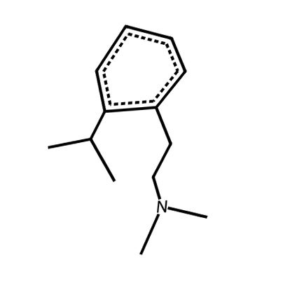 CC(C)c1ccccc1CCN(C)C